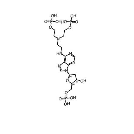 O=P(O)(O)OCCN(CCNc1ncnc2c1ncn2[C@H]1C[C@@H](O)[C@@H](COP(=O)(O)O)O1)CCOP(=O)(O)O